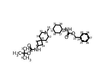 CC(C)(C)OC(=O)NC1CC2(CCN(C[C@H]3CC[C@H](NC(=O)OCc4ccccc4)CC3)CC2)C1